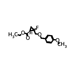 CCOC(=O)[C@H]1C[C@]1(F)COCc1ccc(OC)cc1